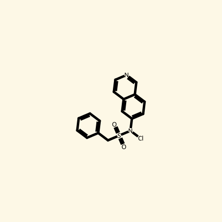 O=S(=O)(Cc1ccccc1)N(Cl)c1ccc2cnccc2c1